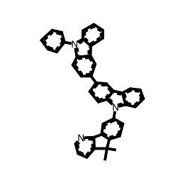 CC1(C)c2ccc(-n3c4ccccc4c4cc(-c5ccc6c(c5)c5ccccc5n6-c5ccccc5)ccc43)cc2-c2ncccc21